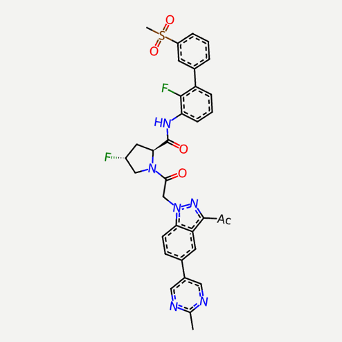 CC(=O)c1nn(CC(=O)N2C[C@H](F)C[C@H]2C(=O)Nc2cccc(-c3cccc(S(C)(=O)=O)c3)c2F)c2ccc(-c3cnc(C)nc3)cc12